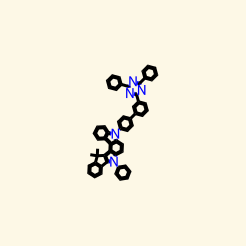 CC1(C)c2ccccc2-c2c1c1c3c4ccccc4n(-c4ccc(-c5cccc(-c6nc(-c7ccccc7)nc(-c7ccccc7)n6)c5)cc4)c3ccc1n2-c1ccccc1